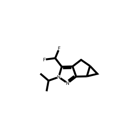 CC(C)n1nc2c(c1C(F)F)CC1CC21